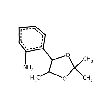 CC1OC(C)(C)OC1c1ccccc1N